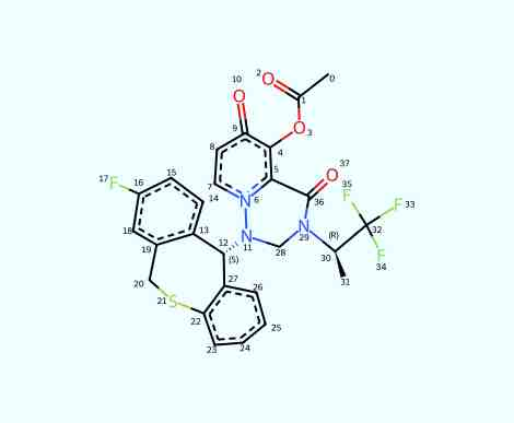 CC(=O)Oc1c2n(ccc1=O)N([C@H]1c3ccc(F)cc3CSc3ccccc31)CN([C@H](C)C(F)(F)F)C2=O